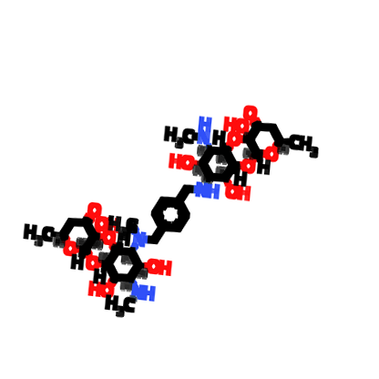 CN[C@H]1[C@@H](O)[C@@H](NCc2ccc(CN(C)[C@H]3[C@@H](O)[C@@H](NC)C(O)[C@H]4O[C@@H]5O[C@H](C)CC(=O)[C@]5(O)O[C@H]34)cc2)[C@H](O)[C@H]2O[C@@H]3O[C@H](C)CC(=O)[C@]3(O)O[C@H]12